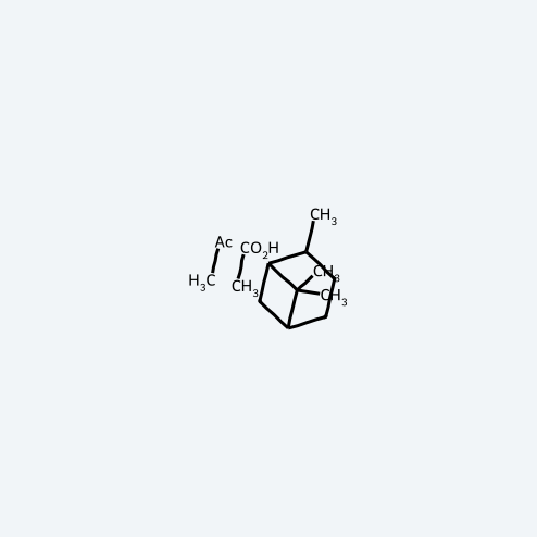 CC(=O)O.CC(C)=O.CC1CCC2CC1C2(C)C